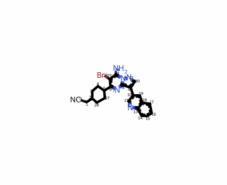 N#CCC1CCC(c2nc3c(-c4cnc5ccccc5c4)cnn3c(N)c2Br)CC1